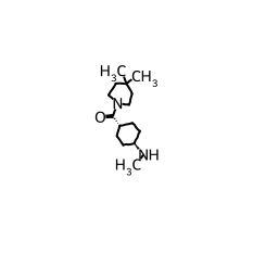 CN[C@H]1CC[C@H](C(=O)N2CCC(C)(C)CC2)CC1